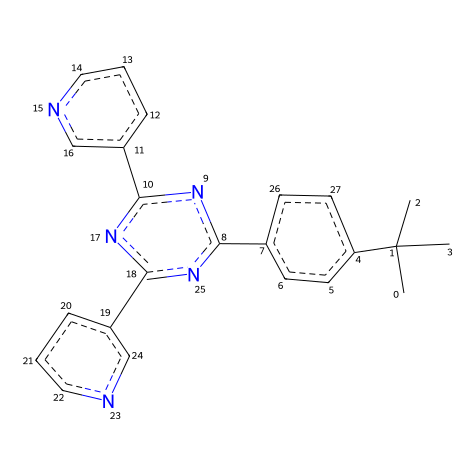 CC(C)(C)c1ccc(-c2nc(-c3cccnc3)nc(-c3cccnc3)n2)cc1